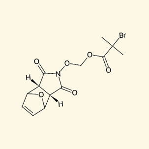 CC(C)(Br)C(=O)OCON1C(=O)[C@@H]2C3C=CC(O3)[C@@H]2C1=O